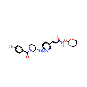 O=C(/C=C/c1ccc(N[C@@H]2CCCN(C(=O)c3ccc(Cl)cc3)C2)nc1)NOC1CCCCO1